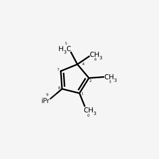 CC1=C(C)C(C)(C)C=C1C(C)C